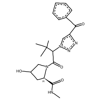 CNC(=O)[C@H]1CC(O)CN1C(=O)C(n1cc(C(=O)c2ccccc2)nn1)C(C)(C)C